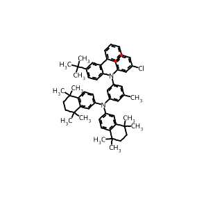 Cc1cc(N(c2ccc3c(c2)C(C)(C)CCC3(C)C)c2ccc3c(c2)C(C)(C)CCC3(C)C)cc(N(c2cccc(Cl)c2)c2ccc(C(C)(C)C)cc2-c2ccccc2)c1